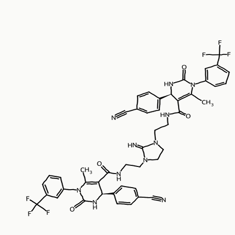 CC1=C(C(=O)NCCN2CCN(CCNC(=O)C3=C(C)N(c4cccc(C(F)(F)F)c4)C(=O)N[C@@H]3c3ccc(C#N)cc3)C2=N)[C@@H](c2ccc(C#N)cc2)NC(=O)N1c1cccc(C(F)(F)F)c1